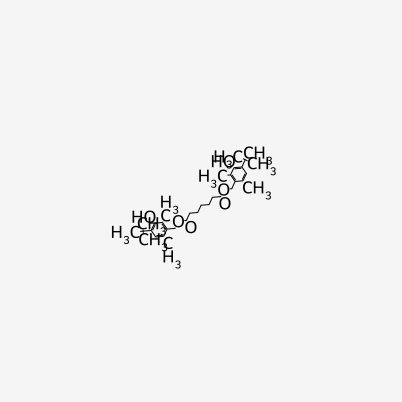 Cc1cc(C(C)(C)C)c(O)c(C)c1COC(=O)CCCCCC(=O)OCc1c(C)cc(C(C)(C)C)c(O)c1C